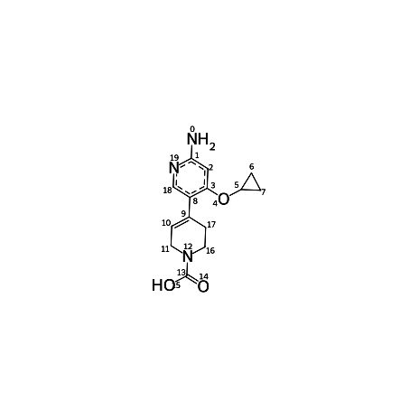 Nc1cc(OC2CC2)c(C2=CCN(C(=O)O)CC2)cn1